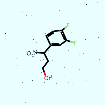 O=[N+]([O-])C(CCO)c1ccc(F)c(F)c1